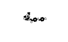 COc1ccc(COc2ccc(C(=O)CNC(=O)C3(C)COC(C)(C)N3C(=O)OC(C)(C)C)cc2)cc1